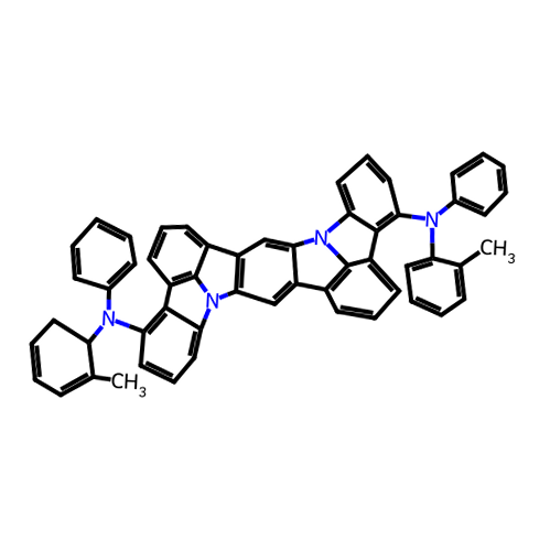 CC1=CC=CCC1N(c1ccccc1)c1cccc2c1c1cccc3c4cc5c(cc4n2c31)c1cccc2c3c(N(c4ccccc4)c4ccccc4C)cccc3n5c12